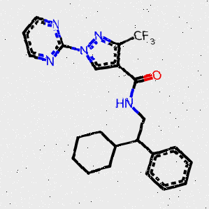 O=C(NCC(c1ccccc1)C1CCCCC1)c1cn(-c2ncccn2)nc1C(F)(F)F